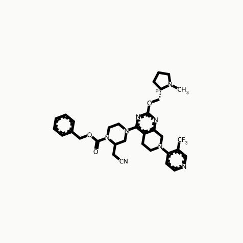 CN1CCC[C@H]1COc1nc2c(c(N3CCN(C(=O)OCc4ccccc4)C(CC#N)C3)n1)CCN(c1ccncc1C(F)(F)F)C2